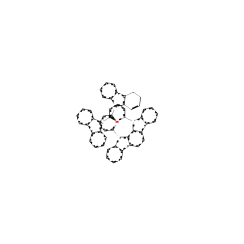 C1=Cc2c(c3ccccc3n2-c2cccc(-n3c4ccccc4c4ccc5c6ccccc6n(-c6cccc(-n7c8ccccc8c8ccccc87)n6)c5c43)n2)CC1